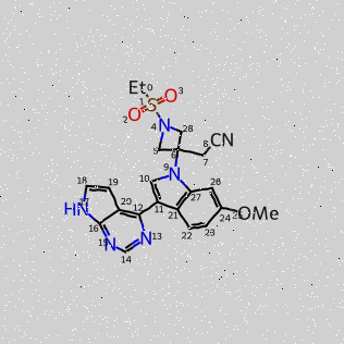 CCS(=O)(=O)N1CC(CC#N)(n2cc(-c3ncnc4[nH]ccc34)c3ccc(OC)cc32)C1